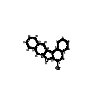 Brc1cc2ccccc2c2c1oc1cc3ccccc3cc12